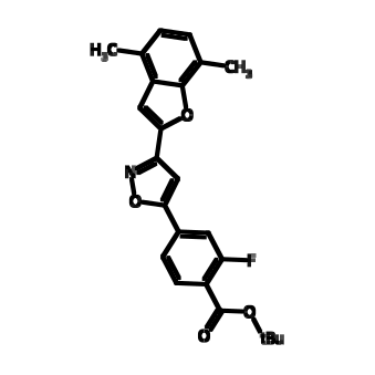 Cc1ccc(C)c2oc(-c3cc(-c4ccc(C(=O)OC(C)(C)C)c(F)c4)on3)cc12